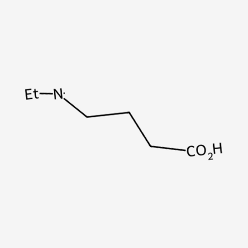 CC[N]CCCC(=O)O